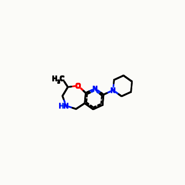 CC1CNCc2ccc(N3CCCCC3)nc2O1